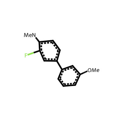 CNc1ccc(-c2cccc(OC)c2)cc1F